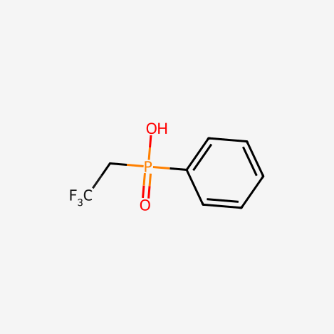 O=P(O)(CC(F)(F)F)c1ccccc1